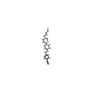 CCCCC[C@H]1CC[C@H]([C@H]2CC[C@H](CCc3ccc(C#N)cc3)CC2)CC1